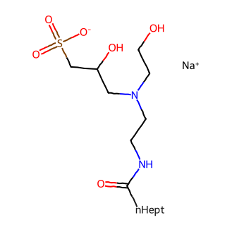 CCCCCCCC(=O)NCCN(CCO)CC(O)CS(=O)(=O)[O-].[Na+]